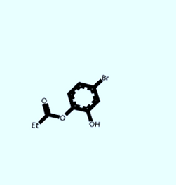 CCC(=O)Oc1ccc(Br)cc1O